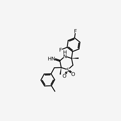 Cc1cccc(C[C@]2(C)C(=N)N[C@](C)(c3ccc(F)cc3F)CS2(=O)=O)c1